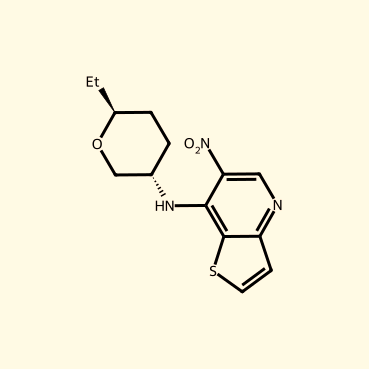 CC[C@H]1CC[C@H](Nc2c([N+](=O)[O-])cnc3ccsc23)CO1